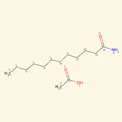 CC(=O)O.CCCCCCCCCCCC(N)=O